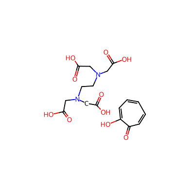 O=C(O)CN(CCN(CC(=O)O)CC(=O)O)CC(=O)O.O=c1cccccc1O